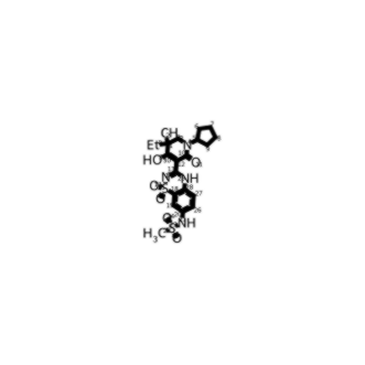 CCC1(C)CN(C2CCCC2)C(=O)C(C2=NS(=O)(=O)c3cc(NS(C)(=O)=O)ccc3N2)=C1O